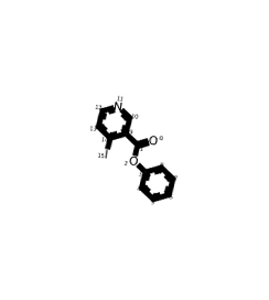 O=C(Oc1ccccc1)c1cnccc1I